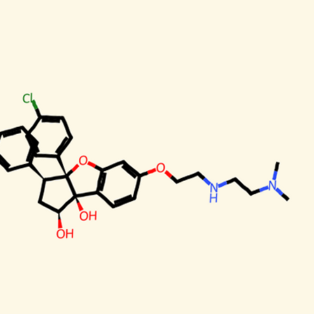 CN(C)CCNCCOc1ccc2c(c1)O[C@@]1(c3ccc(Cl)cc3)[C@H](c3ccccc3)C[C@H](O)[C@@]21O